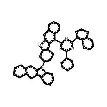 c1ccc(-c2nc(-c3cccc4ccccc34)nc(-c3c4ccccc4cc4oc5cc(-n6c7ccccc7c7cc8ccccc8cc76)ccc5c34)n2)cc1